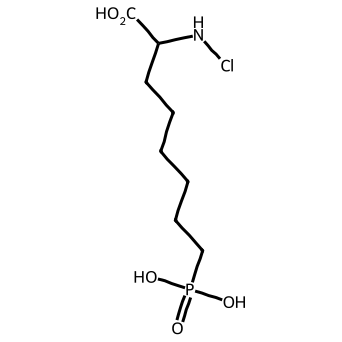 O=C(O)C(CCCCCCP(=O)(O)O)NCl